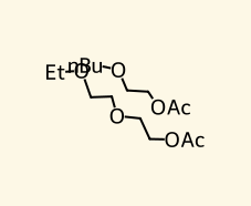 CCCCOCCOC(C)=O.CCOCCOCCOC(C)=O